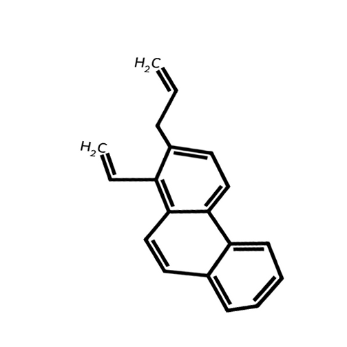 C=CCc1ccc2c(ccc3ccccc32)c1C=C